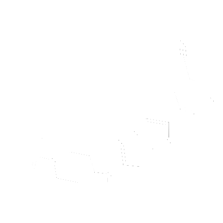 CS(=O)(=O)N1CCC(Nc2nn3cc(-c4cncc(C#N)c4)nc3s2)CC1